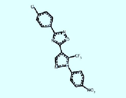 O=[N+]([O-])c1ccc(-n2ncc(-c3nc(-c4ccc(Cl)cc4)no3)c2C(F)(F)F)cc1